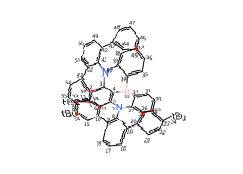 Cc1cc2c3c(c1)N(c1c(-c4ccccc4)cccc1-c1ccc(C(C)(C)C)cc1)c1ccccc1B3c1ccccc1N2c1c(-c2ccccc2)cccc1-c1ccc(C(C)(C)C)cc1